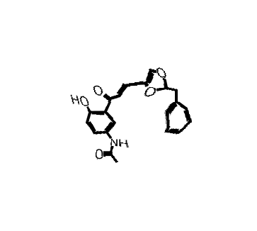 CC(=O)Nc1ccc(O)c(C(=O)C=CC2=COC(Cc3ccccc3)O2)c1